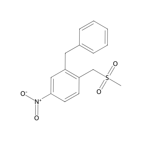 CS(=O)(=O)Cc1ccc([N+](=O)[O-])cc1Cc1ccccc1